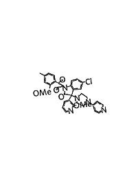 COc1cc(C)ccc1S(=O)(=O)N1C(=O)C(c2cccnc2OC)(N2CCN(c3ccncc3)CC2)c2cc(Cl)ccc21